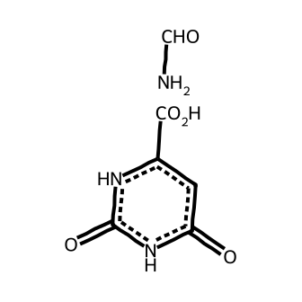 NC=O.O=C(O)c1cc(=O)[nH]c(=O)[nH]1